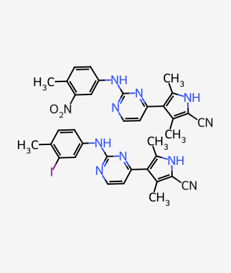 Cc1ccc(Nc2nccc(-c3c(C)[nH]c(C#N)c3C)n2)cc1I.Cc1ccc(Nc2nccc(-c3c(C)[nH]c(C#N)c3C)n2)cc1[N+](=O)[O-]